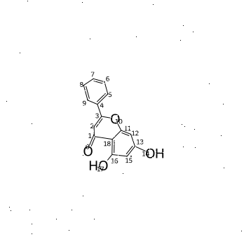 O=c1cc(-c2ccccc2)oc2cc(O)[c]c(O)c12